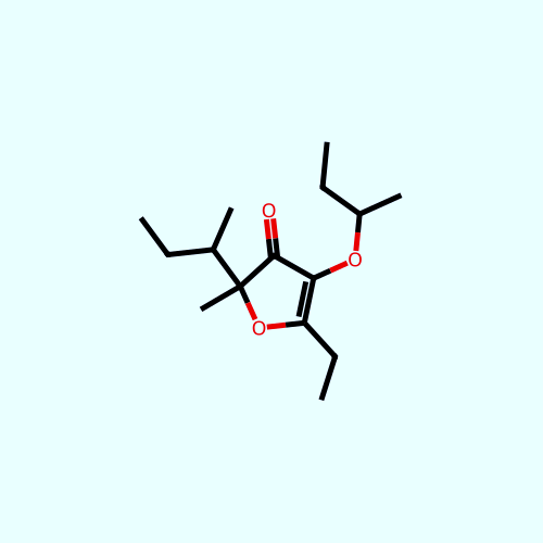 CCC1=C(OC(C)CC)C(=O)C(C)(C(C)CC)O1